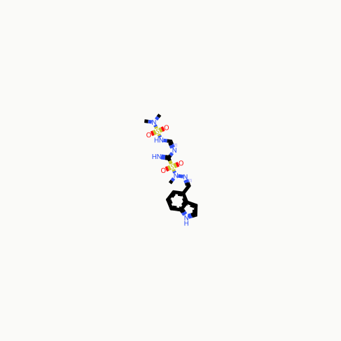 CN(C)S(=O)(=O)N/C=N\C(=N)S(=O)(=O)N(C)/N=C\c1cccc2[nH]ccc12